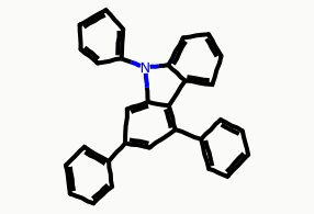 c1ccc(-c2cc(-c3ccccc3)c3c4ccccc4n(-c4ccccc4)c3c2)cc1